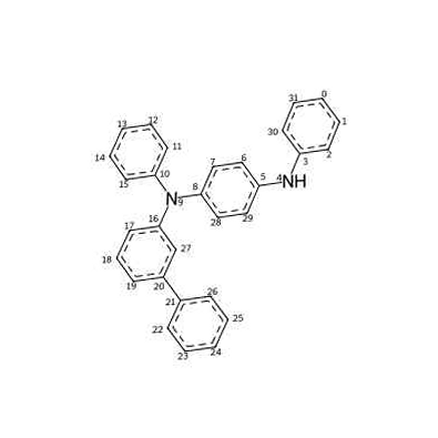 c1ccc(Nc2ccc(N(c3ccccc3)c3cccc(-c4ccccc4)c3)cc2)cc1